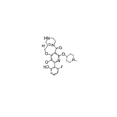 CN1CCC(Oc2nc(-c3c(O)cccc3F)c(Cl)c3c2C(=O)N2CCNC[C@@H]2CO3)CC1